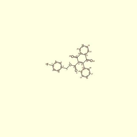 O=C(OCc1ccc(F)cc1)C1=C(c2ccccc2)C(=O)c2ccccc2C1=O